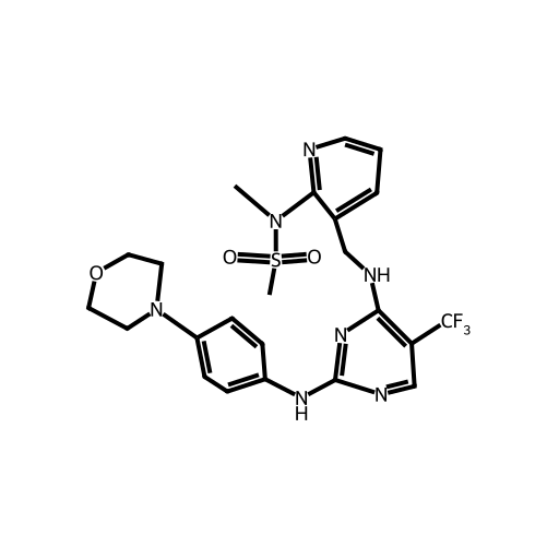 CN(c1ncccc1CNc1nc(Nc2ccc(N3CCOCC3)cc2)ncc1C(F)(F)F)S(C)(=O)=O